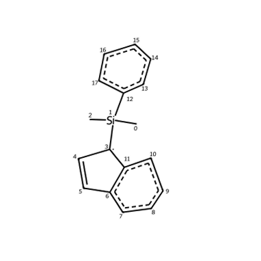 C[Si](C)([C]1C=Cc2ccccc21)c1ccccc1